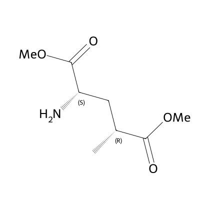 COC(=O)[C@H](C)C[C@H](N)C(=O)OC